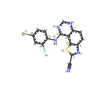 N#Cc1nc2ccc3ncnc(Nc4ccc(Br)cc4F)c3c2s1